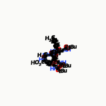 Cc1ccc(-c2ccc(C(=O)N[C@@H](CCCCNC(=O)OC(C)(C)C)C(=O)N(C)[C@@H]3C(=O)N[C@@H](C)C(=O)N[C@H](C(=O)O)Cc4ccc(OCCNC(=O)OC(C)(C)C)c(c4)-c4cc3ccc4OCCNC(=O)OC(C)(C)C)cc2)cc1